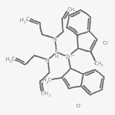 C=CCN(CC=C)[SiH](N(CC=C)CC=C)[Zr+2]([CH]1C(C)=Cc2ccccc21)[CH]1C(C)=Cc2ccccc21.[Cl-].[Cl-]